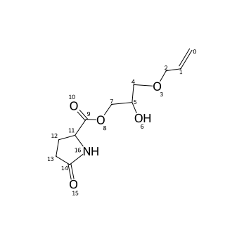 C=CCOCC(O)COC(=O)C1CCC(=O)N1